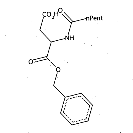 CCCCCC(=O)NC(CC(=O)O)C(=O)OCc1ccccc1